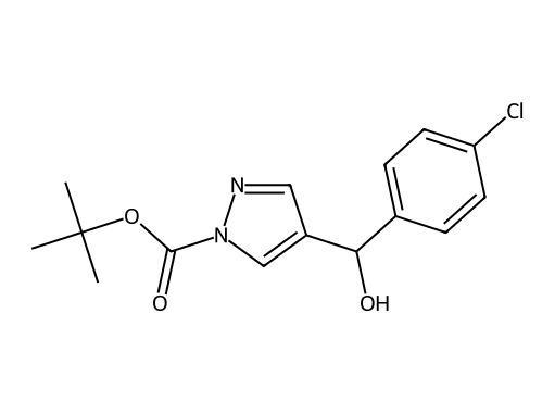 CC(C)(C)OC(=O)n1cc(C(O)c2ccc(Cl)cc2)cn1